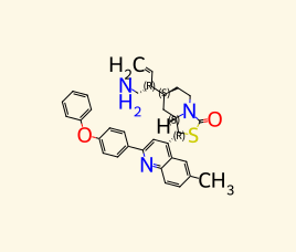 C=C[C@@H](CN)[C@H]1CCN2C(=O)S[C@H](c3cc(-c4ccc(Oc5ccccc5)cc4)nc4ccc(C)cc34)[C@@H]2C1